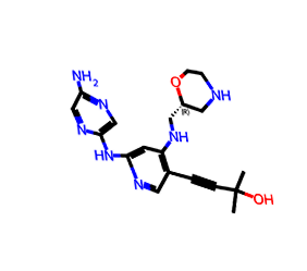 CC(C)(O)C#Cc1cnc(Nc2cnc(N)cn2)cc1NC[C@H]1CNCCO1